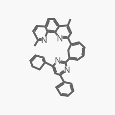 Cc1ccc2ccc3c(C)cc(C4=CC=CC=C(c5nc(C6=CC=CCC6)cc(-c6ccccc6)n5)C4)nc3c2n1